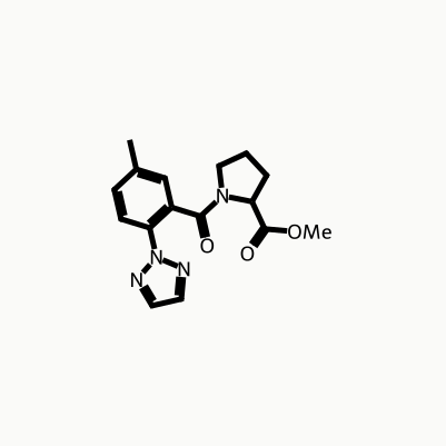 COC(=O)C1CCCN1C(=O)c1cc(C)ccc1-n1nccn1